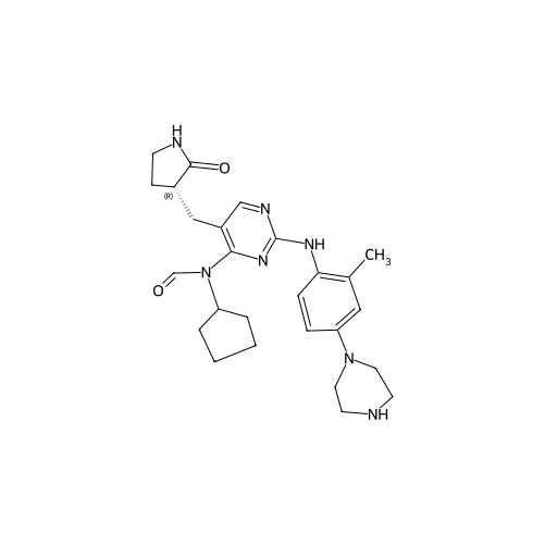 Cc1cc(N2CCNCC2)ccc1Nc1ncc(C[C@@H]2CCNC2=O)c(N(C=O)C2CCCC2)n1